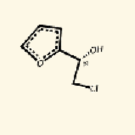 O[C@H](CCl)c1ccco1